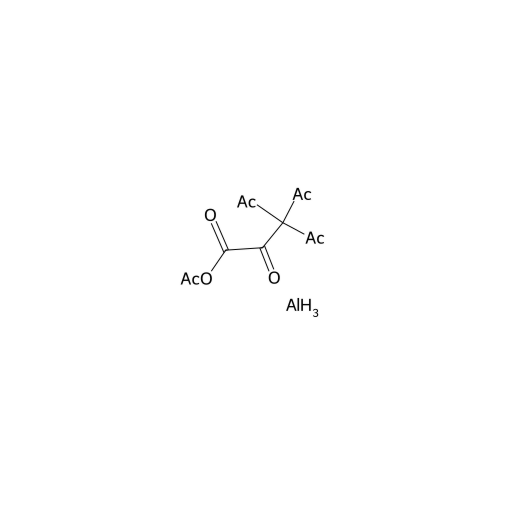 CC(=O)OC(=O)C(=O)C(C(C)=O)(C(C)=O)C(C)=O.[AlH3]